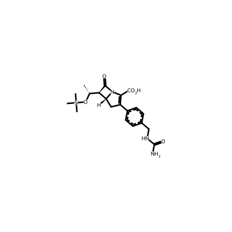 C[C@@H](O[Si](C)(C)C)[C@H]1C(=O)N2C(C(=O)O)=C(c3ccc(CNC(N)=O)cc3)C[C@H]12